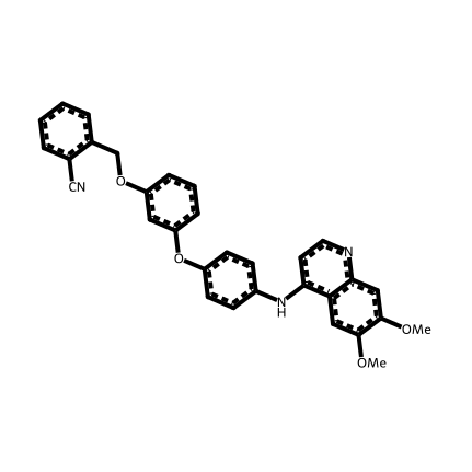 COc1cc2nccc(Nc3ccc(Oc4cccc(OCc5ccccc5C#N)c4)cc3)c2cc1OC